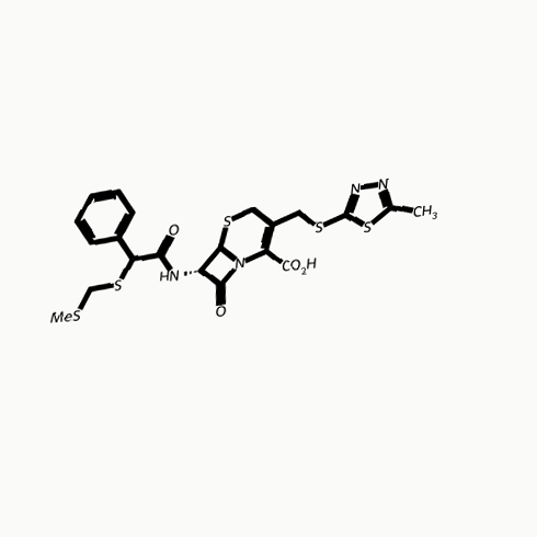 CSCSC(C(=O)N[C@H]1C(=O)N2C(C(=O)O)=C(CSc3nnc(C)s3)CSC12)c1ccccc1